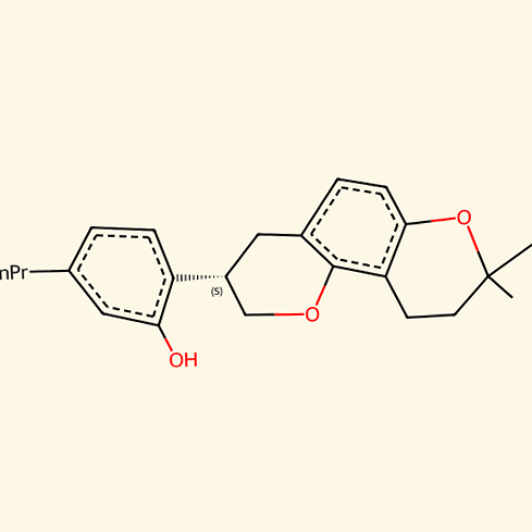 CCCc1ccc([C@H]2COc3c(ccc4c3CCC(C)(C)O4)C2)c(O)c1